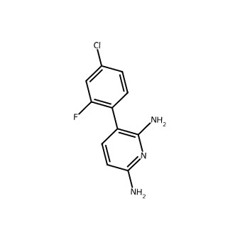 Nc1ccc(-c2ccc(Cl)cc2F)c(N)n1